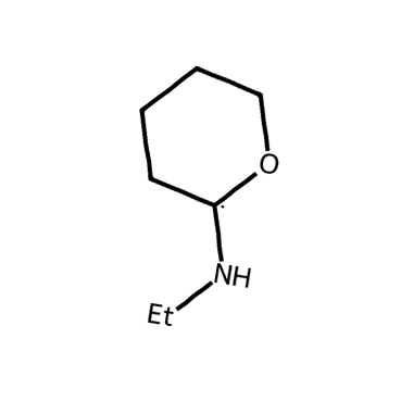 CCN[C]1CCCCO1